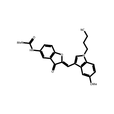 CNC(=O)Nc1ccc2c(c1)C(=O)/C(=C/c1cn(CCCC#N)c3ccc(OC)cc13)O2